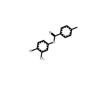 Cc1ccc(C(=O)Oc2ccc(Cl)c(C(F)(F)F)c2)cc1